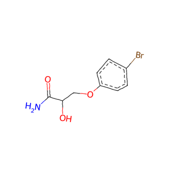 NC(=O)C(O)COc1ccc(Br)cc1